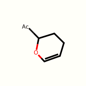 CC(=O)C1CCC=CO1